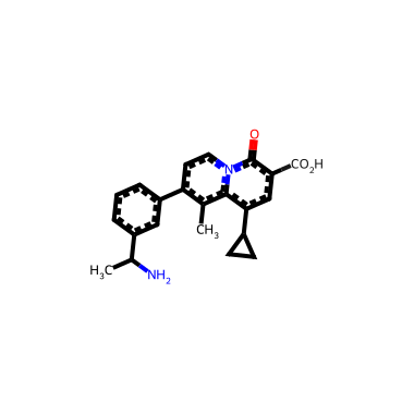 Cc1c(-c2cccc(C(C)N)c2)ccn2c(=O)c(C(=O)O)cc(C3CC3)c12